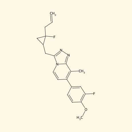 C=CCC1(F)CC1Cc1nnc2c(C)c(-c3ccc(OC)c(F)c3)ccn12